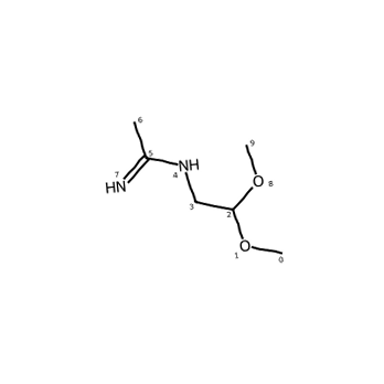 COC(CNC(C)=N)OC